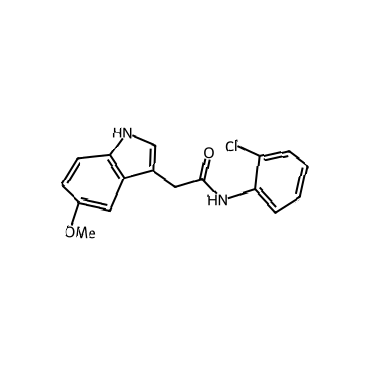 COc1ccc2[nH]cc(CC(=O)Nc3ccccc3Cl)c2c1